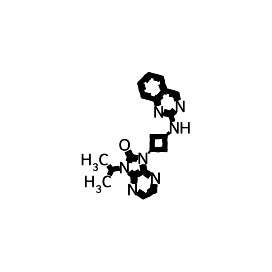 CC(C)n1c(=O)n([C@H]2C[C@H](Nc3ncc4ccccc4n3)C2)c2nccnc21